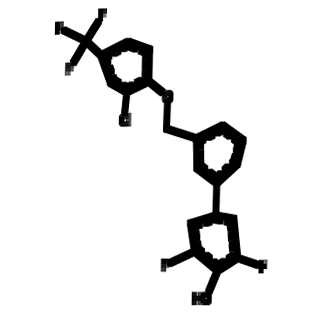 Oc1c(F)cc(-c2cccc(COc3ccc(C(F)(F)F)cc3Cl)c2)cc1F